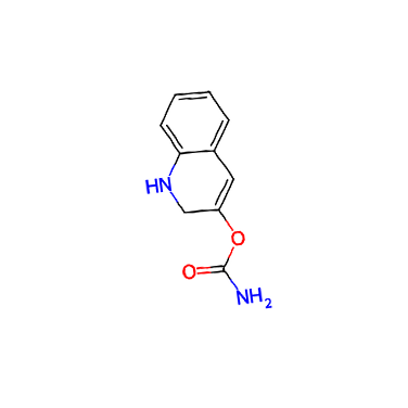 NC(=O)OC1=Cc2ccccc2NC1